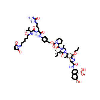 CCCO[C@H](C[C@H](C(C)C)N(CCC)C(=O)[C@@H](NC(=O)[C@H]1CCCCN1C(=O)OCc1ccc(NC(=O)[C@H](CCCNC(N)=O)NC(=O)[C@@H](NC(=O)CCCCCN2C(=O)C=CC2=O)C(C)C)cc1)[C@@H](C)CC)c1nc(C(=O)N[C@H]2Cc3ccc(O)cc3[C@H](C(O)OC)C2)cs1